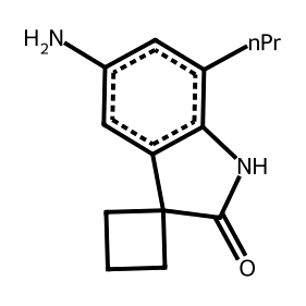 CCCc1cc(N)cc2c1NC(=O)C21CCC1